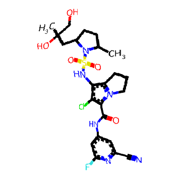 CC1CCC(CC(C)(O)CO)N1S(=O)(=O)Nc1c(Cl)c(C(=O)Nc2cc(F)nc(C#N)c2)n2c1CCC2